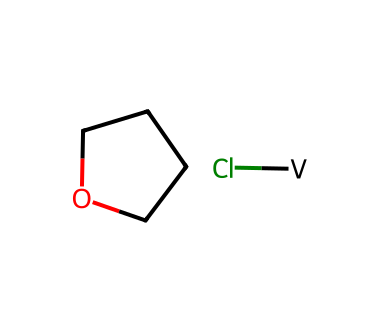 C1CCOC1.[Cl][V]